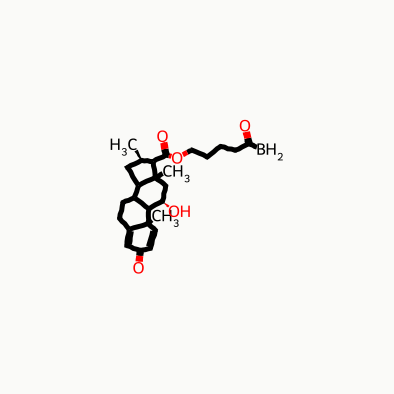 BC(=O)CCCCOC(=O)C1[C@H](C)CC2C3CCC4=CC(=O)C=CC4(C)C3[C@@H](O)CC21C